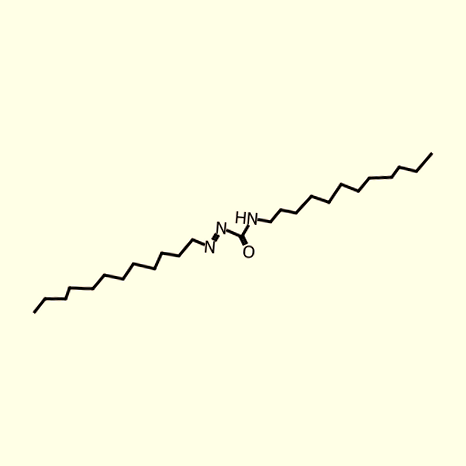 CCCCCCCCCCCCN=NC(=O)NCCCCCCCCCCCC